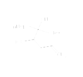 C=CCC(C(F)(F)F)C(C)(CCCCCC)CCCCCCC